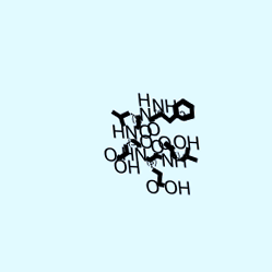 CC(C)C[C@H](NC(=O)[C@H](CCC(=O)O)NC(=O)[C@H](CCC(=O)O)NC(=O)[C@H](CC(C)C)NC(=O)[C@@H](N)Cc1ccccc1)C(=O)O